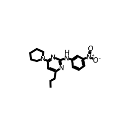 CCCc1cc(N2CCCCC2)nc(Nc2cccc([N+](=O)[O-])c2)n1